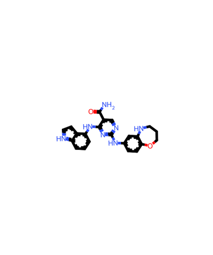 NC(=O)c1cnc(Nc2ccc3c(c2)NCCCO3)nc1Nc1cccc2[nH]ccc12